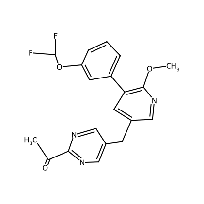 COc1ncc(Cc2cnc(C(C)=O)nc2)cc1-c1cccc(OC(F)F)c1